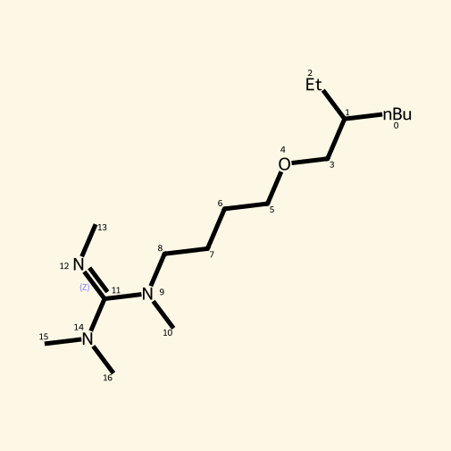 CCCCC(CC)COCCCCN(C)/C(=N\C)N(C)C